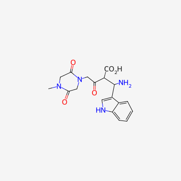 CN1CC(=O)N(CC(=O)C(C(=O)O)C(N)c2c[nH]c3ccccc23)CC1=O